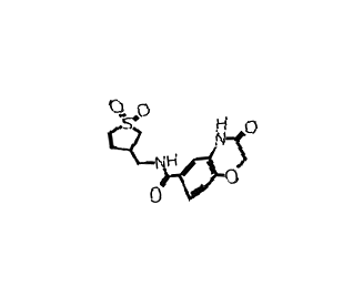 O=C1COc2ccc(C(=O)NCC3CCS(=O)(=O)C3)cc2N1